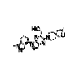 C[C@H]1CC2(CCN(c3nc4cnn(-c5cccc6c5cnn6C)c4nc3CO)CC2)CO1